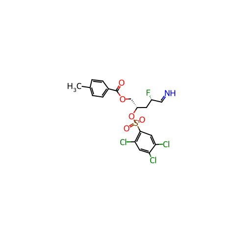 Cc1ccc(C(=O)OC[C@H](C[C@H](F)C=N)OS(=O)(=O)c2cc(Cl)c(Cl)cc2Cl)cc1